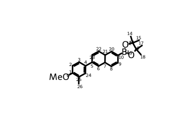 COc1ccc(C2=CC3C=CC(B4OC(C)(C)C(C)(C)O4)=CC3C=C2)cc1C